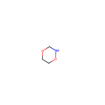 [CH]1NOCCO1